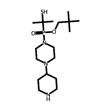 CC(C)(C)COP(=O)(N1CCN(C2CCNCC2)CC1)C(C)(C)S